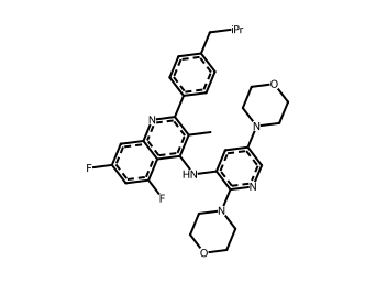 Cc1c(-c2ccc(CC(C)C)cc2)nc2cc(F)cc(F)c2c1Nc1cc(N2CCOCC2)cnc1N1CCOCC1